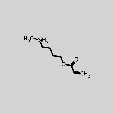 C=CC(=O)OCCCC[SiH2]C